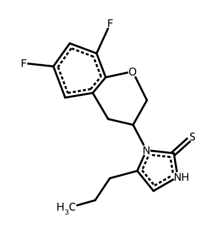 CCCc1c[nH]c(=S)n1C1COc2c(F)cc(F)cc2C1